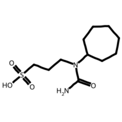 NC(=O)N(CCCS(=O)(=O)O)C1CCCCCC1